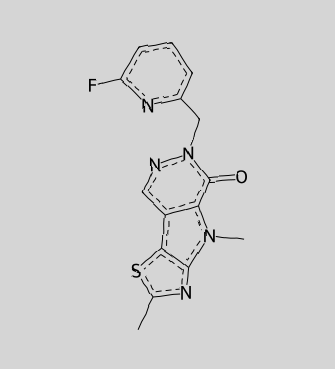 Cc1nc2c(s1)c1cnn(Cc3cccc(F)n3)c(=O)c1n2C